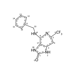 O=c1[nH]c2cc(C(F)(F)F)nc(NCc3ccccc3)c2[nH]1